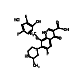 COc1c(N2CCNC(C)C2)c(F)cc2c(=O)c(C(=O)O)c[nH]c12.Cl.Oc1ccc(F)cc1F